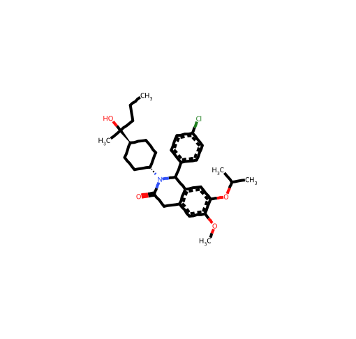 CCCC(C)(O)[C@H]1CC[C@H](N2C(=O)Cc3cc(OC)c(OC(C)C)cc3C2c2ccc(Cl)cc2)CC1